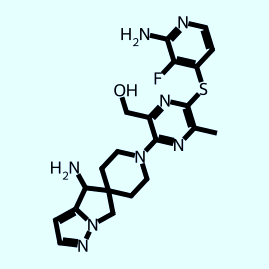 Cc1nc(N2CCC3(CC2)Cn2nccc2C3N)c(CO)nc1Sc1ccnc(N)c1F